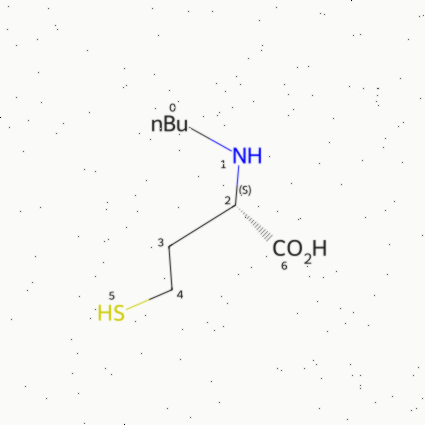 CCCCN[C@@H](CCS)C(=O)O